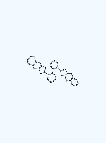 C1=C(c2ccccc2-c2ccccc2C2=Cc3cc4ccccc4cc3C2)Cc2cc3ccccc3cc21